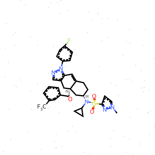 Cn1ccc(S(=O)(=O)N(C2CC2)[C@H]2CCC3=Cc4c(cnn4-c4ccc(F)cc4)C[C@]3(C(=O)c3cccc(C(F)(F)F)c3)C2)n1